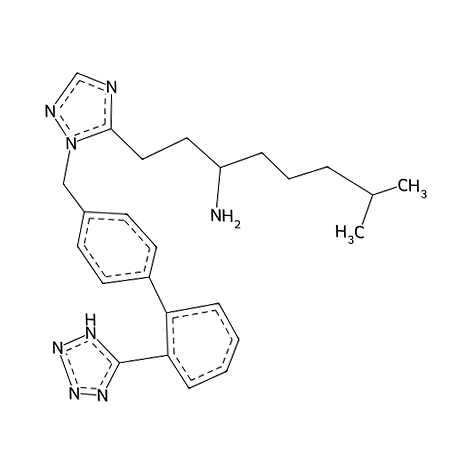 CC(C)CCCC(N)CCc1ncnn1Cc1ccc(-c2ccccc2-c2nnn[nH]2)cc1